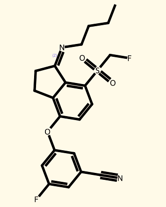 CCCC/N=C1/CCc2c(Oc3cc(F)cc(C#N)c3)ccc(S(=O)(=O)CF)c21